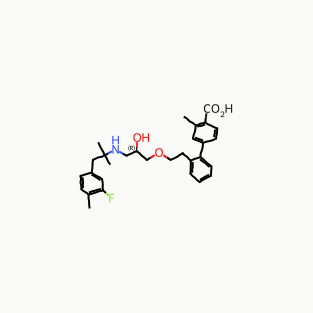 Cc1ccc(CC(C)(C)NC[C@@H](O)COCCc2ccccc2-c2ccc(C(=O)O)c(C)c2)cc1F